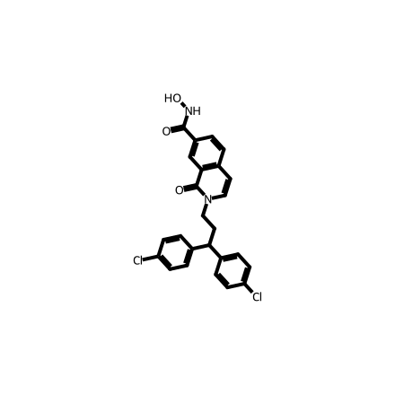 O=C(NO)c1ccc2ccn(CCC(c3ccc(Cl)cc3)c3ccc(Cl)cc3)c(=O)c2c1